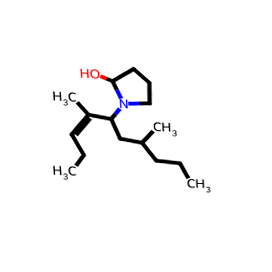 CC/C=C(/C)C(CC(C)CCC)N1CCCC1O